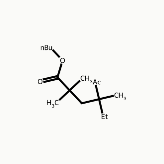 CCCCOC(=O)C(C)(C)CC(C)(CC)C(C)=O